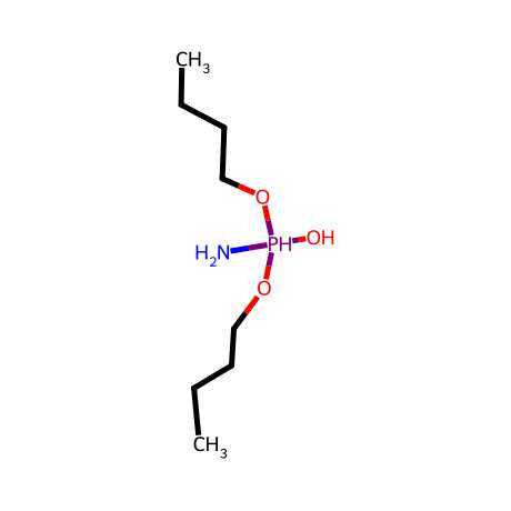 CCCCO[PH](N)(O)OCCCC